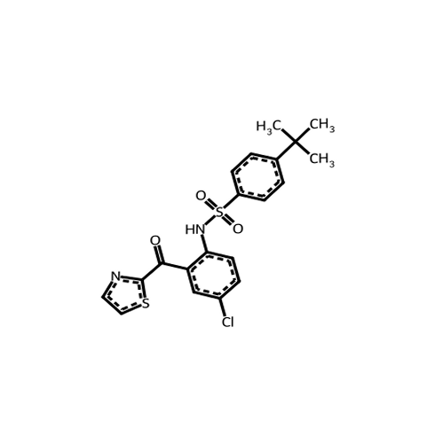 CC(C)(C)c1ccc(S(=O)(=O)Nc2ccc(Cl)cc2C(=O)c2nccs2)cc1